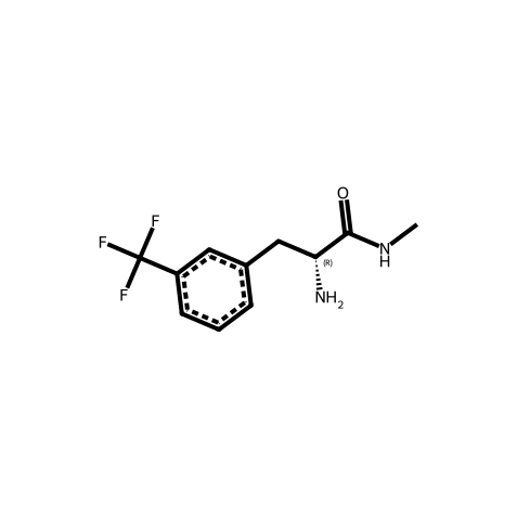 CNC(=O)[C@H](N)Cc1cccc(C(F)(F)F)c1